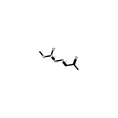 CO/[P+]([O-])=N/N=C/C(C)=O